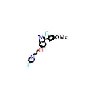 COc1ccc(C2CN(C)Cc3cc(OCCCN4CCC(F)CC4)ccc32)c(F)c1